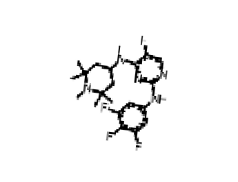 CN1C(C)(C)CC(Nc2nc(Nc3cc(F)c(F)c(F)c3)ncc2F)CC1(C)C